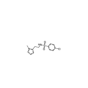 Cn1[c]ccc1CCNS(=O)(=O)c1ccc(Cl)cc1